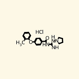 Cc1ccccc1Oc1ccc(C(=O)NC(=N)NN2CCCC2)cc1.Cl